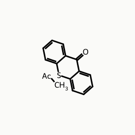 CC(C)=O.O=c1c2ccccc2sc2ccccc12